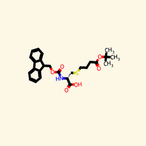 CC(C)(C)OC(=O)CCCSC[C@@H](NC(=O)OCC1c2ccccc2-c2ccccc21)C(=O)O